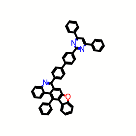 c1ccc(-c2cc(-c3ccccc3)nc(-c3ccc(-c4ccc(-c5nc6ccccc6c6c(-c7ccccc7)c7c(cc56)oc5ccccc57)cc4)cc3)n2)cc1